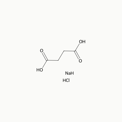 Cl.O=C(O)CCC(=O)O.[NaH]